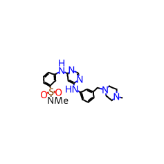 CNS(=O)(=O)c1cccc(Nc2cc(Nc3cccc(CN4CCN(C)CC4)c3)ncn2)c1